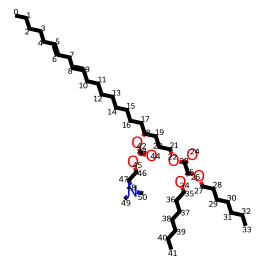 CCCCCC=CCC=CCCCCCCCCC(CCCOC(=O)C(OCCCCCCC)OCCCCCCC)OC(=O)OCCN(C)C